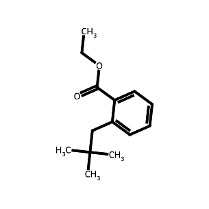 CCOC(=O)c1ccccc1CC(C)(C)C